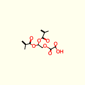 C=C(C)C(=O)OC(COC(=O)C(=O)O)OC(=O)C(=C)C